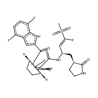 CS(=O)(=O)/C(F)=C/[C@@H](C[C@@H]1CCNC1=O)NC(=O)[C@@H]1[C@@H]2CC[C@@H](CC2(F)F)N1C(=O)c1cc2c(F)ccc(F)c2[nH]1